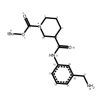 CC(C)(C)OC(=O)N1CCCC(C(=O)Nc2cccc(CN)c2)C1